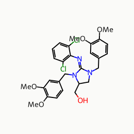 COc1ccc(CN2CC(CO)N(Cc3ccc(OC)c(OC)c3)/C2=N\c2c(Cl)cccc2Cl)cc1OC